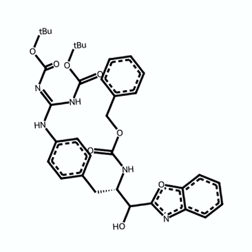 CC(C)(C)OC(=O)/N=C(\NC(=O)OC(C)(C)C)Nc1ccc(C[C@H](NC(=O)OCc2ccccc2)C(O)c2nc3ccccc3o2)cc1